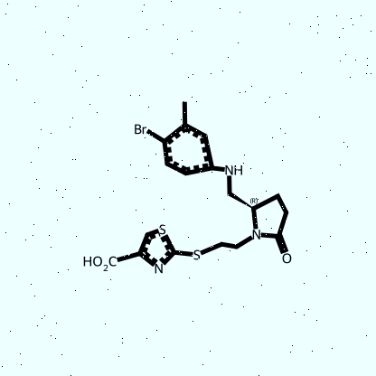 Cc1cc(NC[C@H]2CCC(=O)N2CCSc2nc(C(=O)O)cs2)ccc1Br